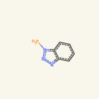 Pn1nnc2ccccc21